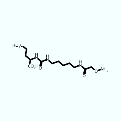 NOCC(=O)NCCCCCNC(=O)NC(CCC(=O)O)C(=O)O